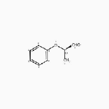 C[C@H]([C]=O)Oc1ccccc1